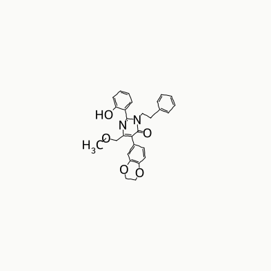 COCc1nc(-c2ccccc2O)n(CCc2ccccc2)c(=O)c1-c1ccc2c(c1)OCCO2